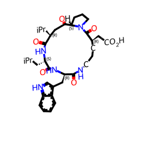 CC(C)C[C@@H]1NC(=O)[C@@H](C(C)C)CC(=O)[C@@H]2CCCN2C(=O)[C@@H](CC(=O)O)CCCNC(=O)[C@@H](Cc2c[nH]c3ccccc23)NC1=O